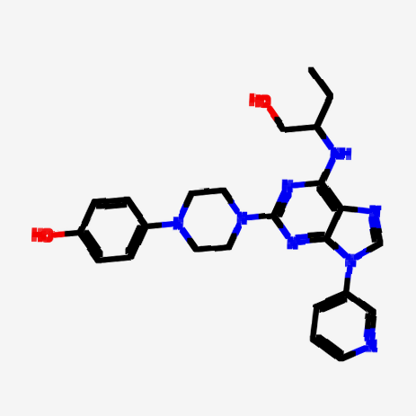 CCC(CO)Nc1nc(N2CCN(c3ccc(O)cc3)CC2)nc2c1ncn2-c1cccnc1